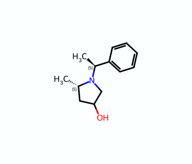 C[C@H]1CC(O)CN1[C@@H](C)c1ccccc1